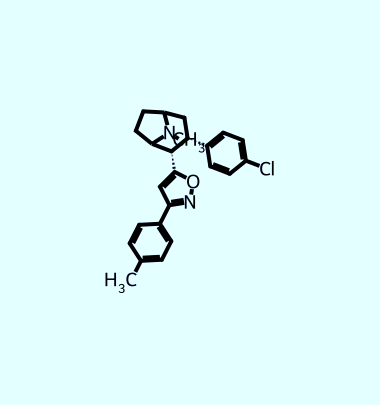 Cc1ccc(-c2cc([C@@H]3C4CCC(C[C@@H]3c3ccc(Cl)cc3)N4C)on2)cc1